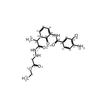 CCOC(=O)CNNC(=O)C(C)n1cccc(NC(=O)c2ccc(N)c(Cl)c2)c1=O